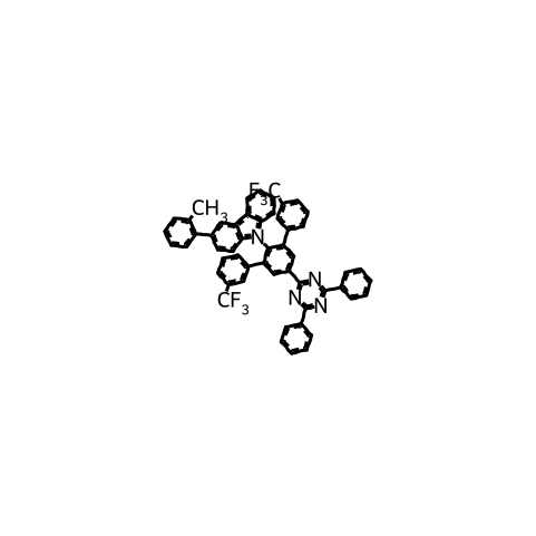 Cc1ccccc1-c1ccc2c(c1)c1ccccc1n2-c1c(-c2cccc(C(F)(F)F)c2)cc(-c2nc(-c3ccccc3)nc(-c3ccccc3)n2)cc1-c1cccc(C(F)(F)F)c1